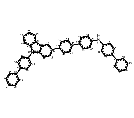 c1ccc(-c2ccc(Nc3ccc(-c4ccc(-c5ccc6c(c5)c5ccccc5n6-c5ccc(-c6ccccc6)cc5)cc4)cc3)cc2)cc1